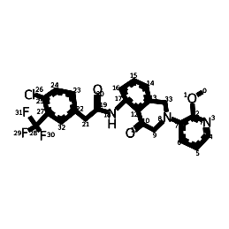 COc1ncccc1N1CC(=O)c2c(cccc2NC(=O)Cc2ccc(Cl)c(C(F)(F)F)c2)C1